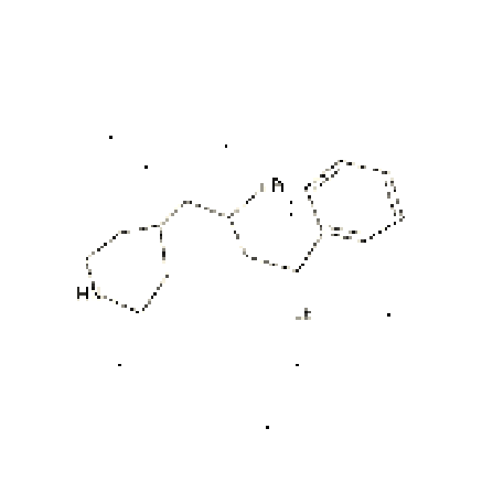 CCCC(CC1CCNCC1)CC(CC)c1ccccc1